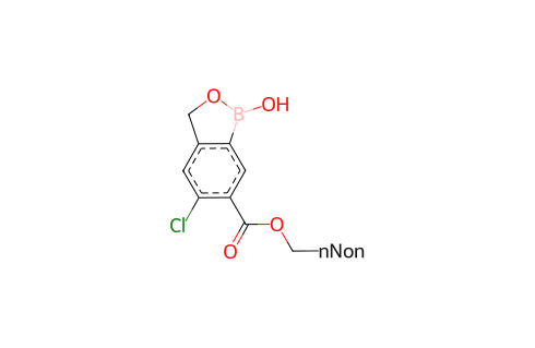 CCCCCCCCCCOC(=O)c1cc2c(cc1Cl)COB2O